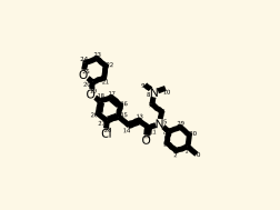 CC1CCC(N(CCN(C)C)C(=O)C=Cc2ccc(OC3CCCCO3)cc2Cl)CC1